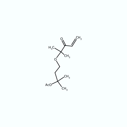 C=CC(=O)C(C)(C)OCCC(C)(C)OC(C)=O